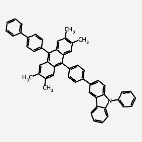 Cc1cc2c(-c3ccc(-c4ccccc4)cc3)c3cc(C)c(C)cc3c(-c3ccc(-c4ccc5c(c4)c4ccccc4n5-c4ccccc4)cc3)c2cc1C